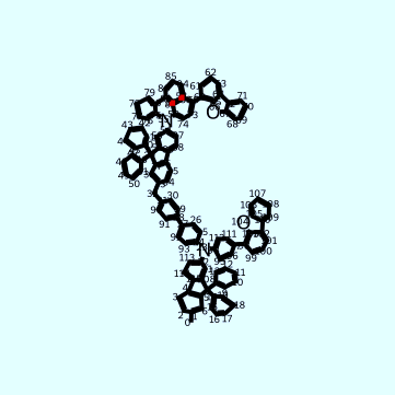 Cc1ccc2c(c1)C(c1ccccc1)(c1ccccc1)c1cc(N(c3ccc(-c4ccc(Cc5ccc6c(c5)C(c5ccccc5)(c5ccccc5)c5cc(N(c7ccc(-c8cccc9c8oc8ccccc89)cc7)c7ccccc7-c7ccccc7)ccc5-6)cc4)cc3)c3ccc(-c4cccc5c4oc4ccccc45)cc3)ccc1-2